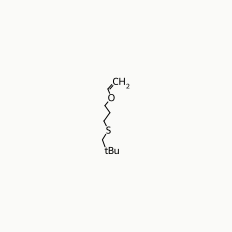 C=COCCCSCC(C)(C)C